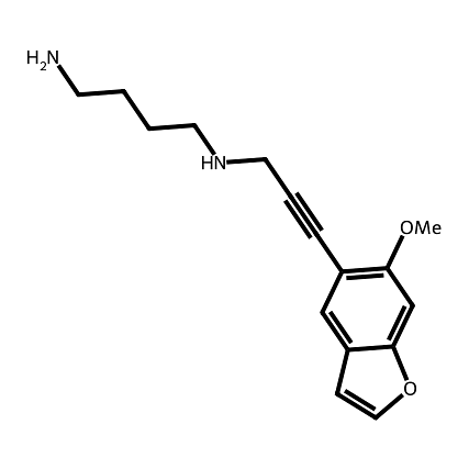 COc1cc2occc2cc1C#CCNCCCCN